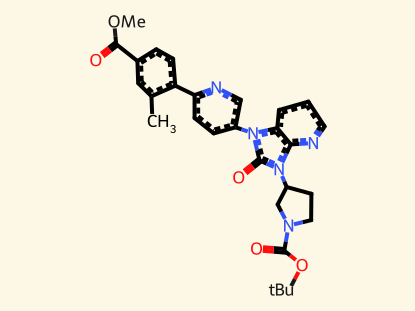 COC(=O)c1ccc(-c2ccc(-n3c(=O)n(C4CCN(C(=O)OC(C)(C)C)C4)c4ncccc43)cn2)c(C)c1